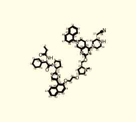 C[CH]C(=O)N[C@H](C(=O)N1CCC[C@H]1c1nc(-c2c(OCCO[C@@H]3C[C@@H](COc4nc5c(c(N6CCN[C@@H](CC#N)C6)n4)CCN(c4cccc6ccccc46)C5)N(C)C3)ccc3ccccc23)cs1)C1CCCCC1